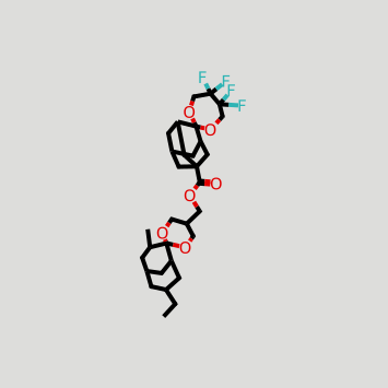 CCC1CC2CC(C)C3(OCC(COC(=O)C45CC6CC(C4)C4(OCC(F)(F)C(F)(F)CO4)C(C6)C5)CO3)C(C1)C2